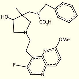 COc1ccc2ncc(F)c(CCN3CC(O)C(C)(CN(Cc4ccccc4)C(=O)O)C3)c2n1